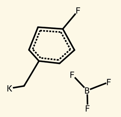 FB(F)F.Fc1ccc([CH2][K])cc1